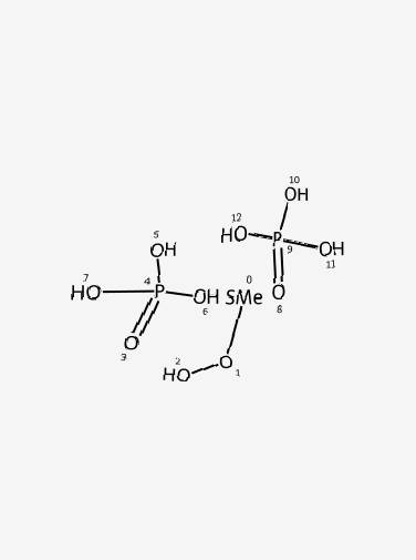 CSOO.O=P(O)(O)O.O=P(O)(O)O